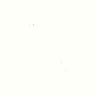 Oc1ccc(CCCCn2ncnn2)cc1